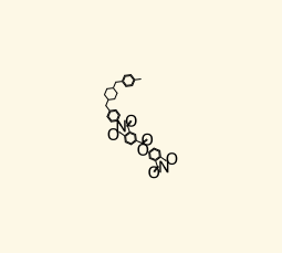 Cc1ccc(CC2CCC(Cc3ccc(N4C(=O)c5ccc(C(=O)Oc6ccc7c(c6)C(=O)N(C)C7=O)cc5C4=O)cc3)CC2)cc1